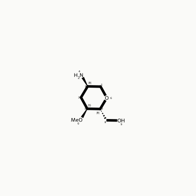 CO[C@H]1C[C@@H](N)CO[C@@H]1CO